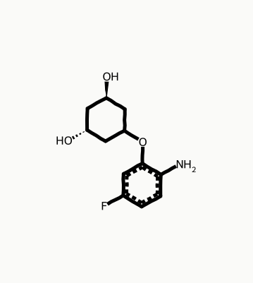 Nc1ccc(F)cc1OC1C[C@H](O)C[C@@H](O)C1